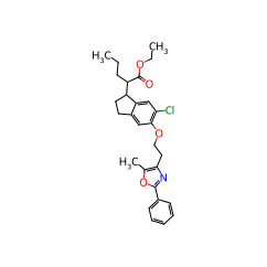 CCCC(C(=O)OCC)C1CCc2cc(OCCc3nc(-c4ccccc4)oc3C)c(Cl)cc21